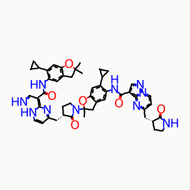 CC1(C)Cc2cc(NC(=O)/C(C=N)=C3\N=C(C[C@@H]4CCN(C5(C)Cc6cc(NC(=O)c7cnn8ccc(C[C@H]9CCNC9=O)nc78)c(C7CC7)cc6O5)C4=O)C=CN3)c(C3CC3)cc2O1